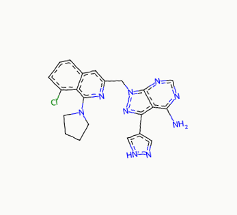 Nc1ncnc2c1c(-c1cn[nH]c1)nn2Cc1cc2cccc(Cl)c2c(N2CCCC2)n1